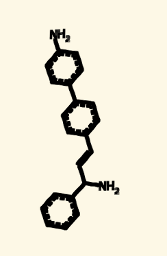 Nc1ccc(-c2ccc(/C=C/C(N)c3ccccc3)cc2)cc1